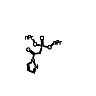 CCCOP(=O)(CC(=O)n1cccn1)OCCC